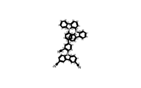 N#Cc1ccc2c(c1)c1cc(C#N)ccc1n2-c1ccc(-c2ccc(-n3c4ccccc4c4cccc(-n5c6ccccc6c6ccccc65)c43)cc2)cc1C#N